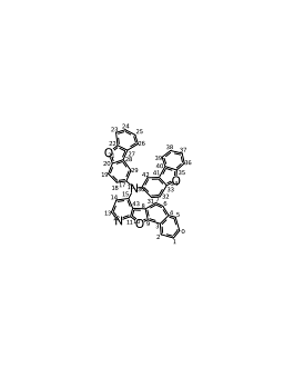 c1ccc2c(c1)ccc1c2oc2nccc(N(c3ccc4oc5ccccc5c4c3)c3ccc4oc5ccccc5c4c3)c21